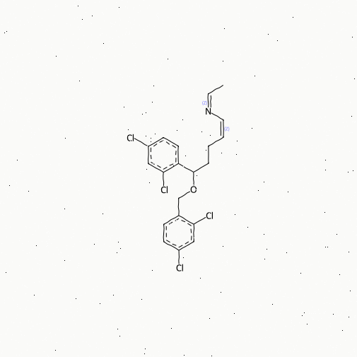 C/C=N\C=C/CCC(OCc1ccc(Cl)cc1Cl)c1ccc(Cl)cc1Cl